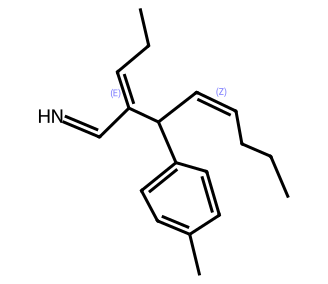 CC/C=C(/C=N)C(/C=C\CCC)c1ccc(C)cc1